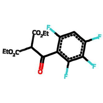 CCOC(=O)C(C(=O)OCC)C(=O)c1c(F)cc(F)c(F)c1F